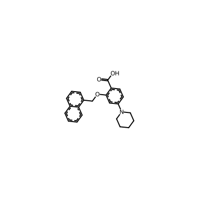 O=C(O)c1ccc(N2CCCCC2)cc1OCc1cccc2ccccc12